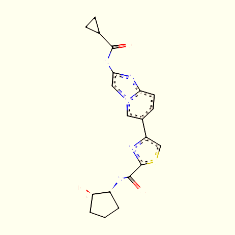 O=C(N[C@H]1CCC[C@H]1O)c1nc(-c2ccc3nc(NC(=O)C4CC4)cn3c2)cs1